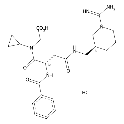 Cl.N=C(N)N1CCC[C@@H](CNC(=O)C[C@H](NC(=O)c2ccccc2)C(=O)N(CC(=O)O)C2CC2)C1